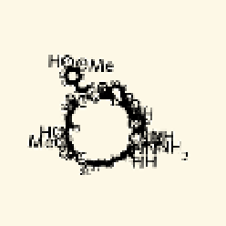 CO[C@@H]1C[C@@H](CC(C)[C@@H]2CC(=O)[C@H](C)/C=C(\C)[C@@H](O)[C@@H](OC)C(=O)[C@H](C)C[C@H](C)/C=C/C=C/C=C(/C)[C@H](NC(=N)NC(=N)N)C[C@@H]3CC[C@@H](C)[C@@](O)(O3)C(=O)C(=O)N3CCCC[C@H]3C(=O)O2)CC[C@H]1O